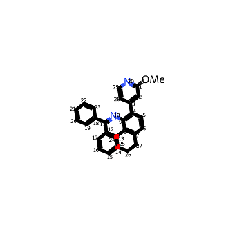 COc1cc(-c2ccc3c(c2N=C(c2ccccc2)c2ccccc2)CCCC3)ccn1